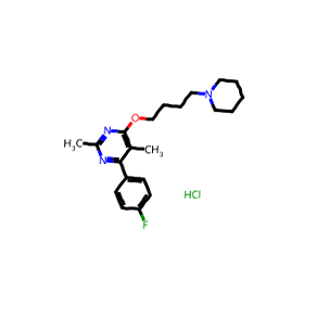 Cc1nc(OCCCCN2CCCCC2)c(C)c(-c2ccc(F)cc2)n1.Cl